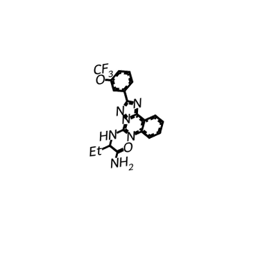 CCC(Nc1nc2ccccc2c2nc(-c3cccc(OC(F)(F)F)c3)nn12)C(N)=O